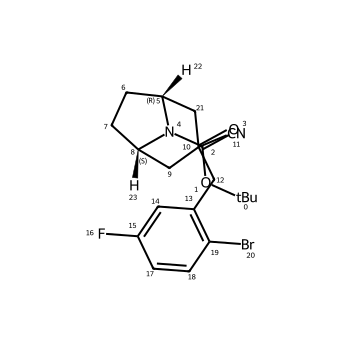 CC(C)(C)OC(=O)N1[C@@H]2CC[C@H]1CC(C#N)(Cc1cc(F)ccc1Br)C2